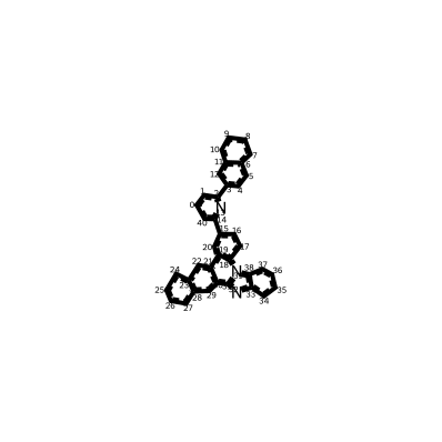 c1cc(-c2ccc3ccccc3c2)nc(-c2ccc3c(c2)c2cc4ccccc4cc2c2nc4ccccc4n32)c1